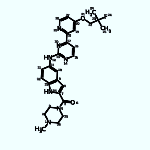 CN1CCN(C(=O)c2cc3cc(Nc4nccc(-c5cc(OCC(C)(C)F)ccn5)n4)ccc3[nH]2)CC1